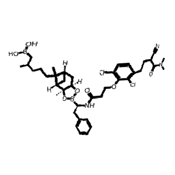 CC(CCCC1(C)[C@@H]2C[C@H]3OB([C@H](Cc4ccccc4)NC(=O)CCOc4c(Cl)ccc(CCC(C#N)C(=O)N(C)C)c4Cl)O[C@@]3(C)[C@H]1C2)CB(O)O